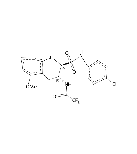 COc1cccc2c1C[C@@H](NC(=O)C(F)(F)F)[C@H](S(=O)(=O)Nc1ccc(Cl)cc1)O2